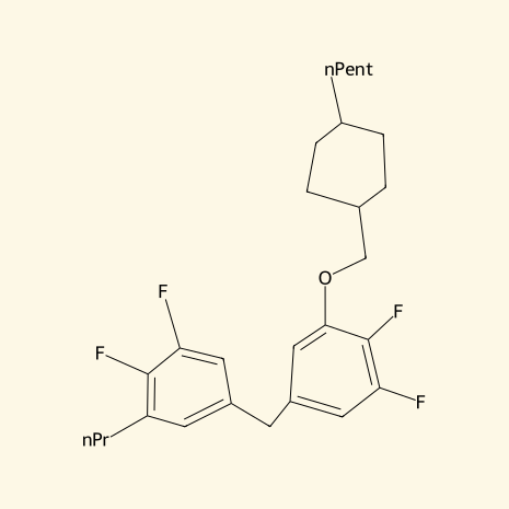 CCCCCC1CCC(COc2cc(Cc3cc(F)c(F)c(CCC)c3)cc(F)c2F)CC1